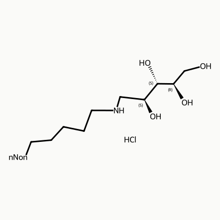 CCCCCCCCCCCCCCNC[C@H](O)[C@H](O)[C@H](O)CO.Cl